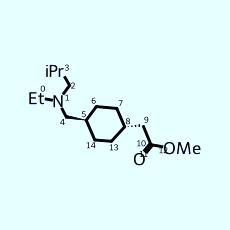 CCN(CC(C)C)C[C@H]1CC[C@H](CC(=O)OC)CC1